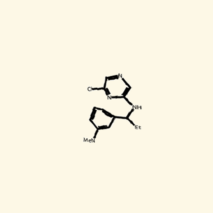 CCC(Nc1cncc(Cl)n1)c1cccc(NC)c1